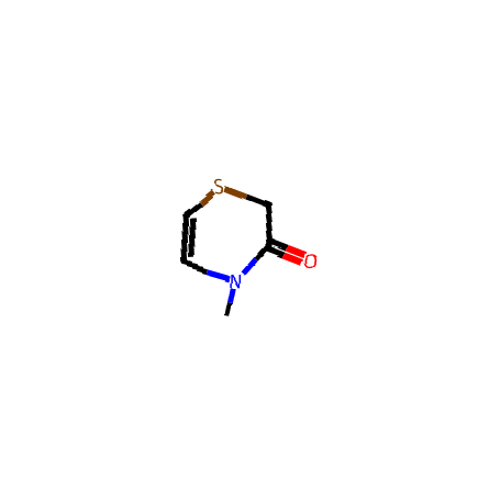 CN1C=CSCC1=O